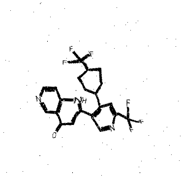 O=c1cc(-c2cnc(C(F)(F)F)cc2C2CCC(C(F)(F)F)CC2)[nH]c2ccncc12